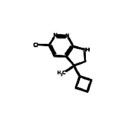 CC1(C2CCC2)CNc2nnc(Cl)cc21